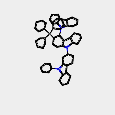 c1ccc(-n2c3ccccc3c3ccc(-n4c5ccccc5c5c(-n6c7ccccc7c7ccccc76)c([Si](c6ccccc6)(c6ccccc6)c6ccccc6)ccc54)cc32)cc1